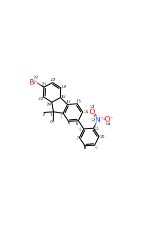 CC1(C)c2cc(-c3ccccc3[N+](=O)[O-])ccc2C2C=CC(Br)=CC21